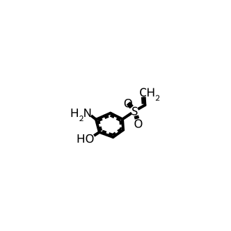 C=CS(=O)(=O)c1ccc(O)c(N)c1